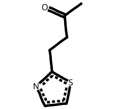 CC(=O)CCc1nccs1